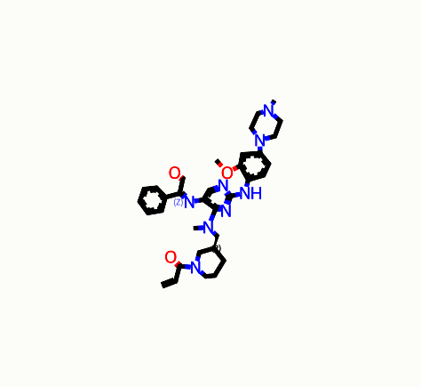 C=CC(=O)N1CCC[C@H](CN(C)c2nc(Nc3ccc(N4CCN(C)CC4)cc3OC)ncc2/N=C(\C=O)c2ccccc2)C1